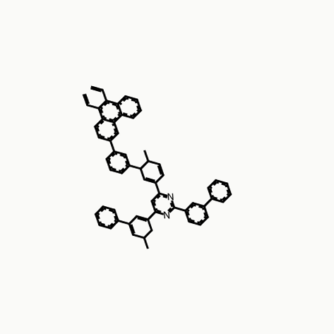 C=Cc1c(C=C)c2ccc(-c3cccc(C4C=C(c5cc(C6=CC(c7ccccc7)=CC(C)C6)nc(-c6cccc(-c7ccccc7)c6)n5)C=CC4C)c3)cc2c2ccccc12